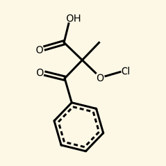 CC(OCl)(C(=O)O)C(=O)c1ccccc1